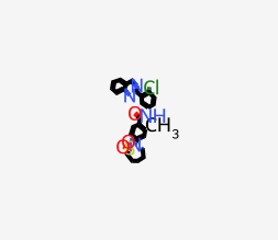 Cc1cc(N2CCCCCS2(=O)=O)ccc1C(=O)Nc1ccc(Cl)c(-c2ncc3ccccc3n2)c1